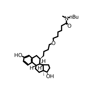 CCCCN(C)C(=O)CCCCCOCCCC[C@@H]1Cc2cc(O)ccc2[C@H]2CC[C@]3(C)[C@@H](O)CC[C@H]3[C@H]12